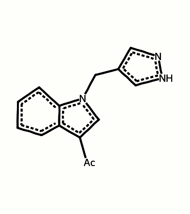 CC(=O)c1cn(Cc2cn[nH]c2)c2ccccc12